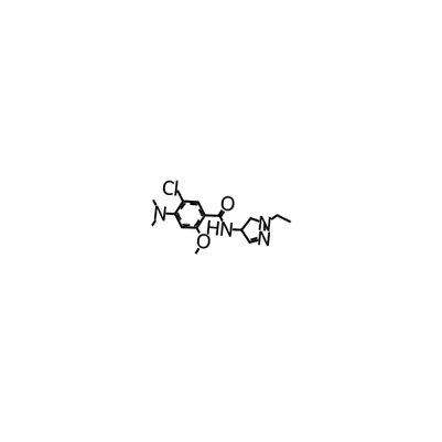 CCN1CC(NC(=O)c2cc(Cl)c(N(C)C)cc2OC)C=N1